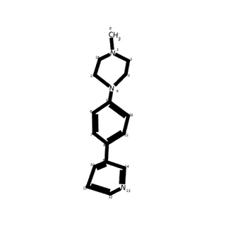 CN1CCN(c2ccc(-c3c[c]cnc3)cc2)CC1